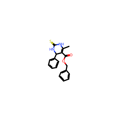 CC1=C(C(=O)OCc2ccccc2)C(c2ccccc2)NC(=S)N1